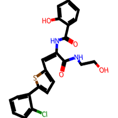 O=C(NCCO)/C(=C\c1ccc(-c2ccccc2Cl)s1)NC(=O)c1ccccc1O